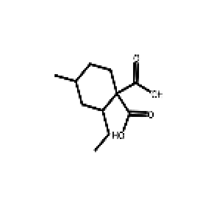 CCC1CC(C)CCC1(C(=O)O)C(=O)O